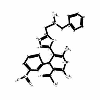 CC1=C(C(=O)O)C(c2cccc([N+](=O)[O-])c2)C(c2nnc(CN(C)Cc3ccccc3)o2)=C(C)N1